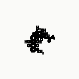 COc1cccc2c1C(=O)c1c(O)c3c(c(O)c1C2=O)CC[C@](O)(C(=O)COC(=O)CCCC(=O)C1CC1)[C@H]3OC1CC(N)C(O)C(C)O1